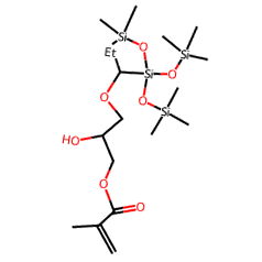 C=C(C)C(=O)OCC(O)COC(CC)[Si](O[Si](C)(C)C)(O[Si](C)(C)C)O[Si](C)(C)C